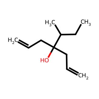 C=CCC(O)(CC=C)C(C)CC